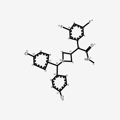 CNC(=O)C(c1cc(F)cc(F)c1)C1CN(C(c2ccc(Cl)cc2)c2ccc(Cl)cc2)C1